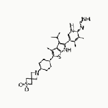 Cc1c(-c2[nH]c3sc(C4CCC(N5CC6(C5)CS(=O)(=O)C6)CC4)c(C)c3c2C(C)C)c[nH]/c(=N\C=N)c1C